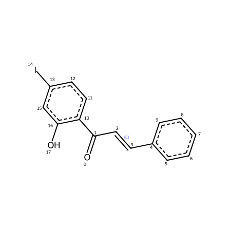 O=C(/C=C/c1ccccc1)c1ccc(I)cc1O